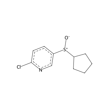 [O-][S+](c1ccc(Cl)nc1)C1CCCC1